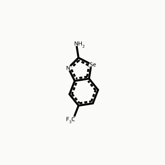 Nc1nc2cc(C(F)(F)F)ccc2[se]1